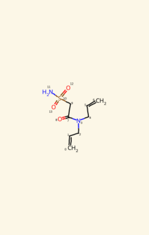 C=CCN(CC=C)C(=O)CS(N)(=O)=O